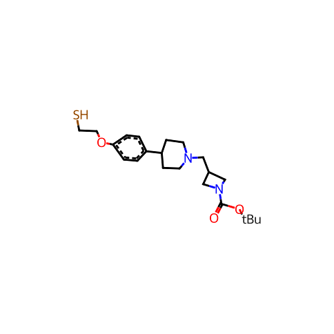 CC(C)(C)OC(=O)N1CC(CN2CCC(c3ccc(OCCS)cc3)CC2)C1